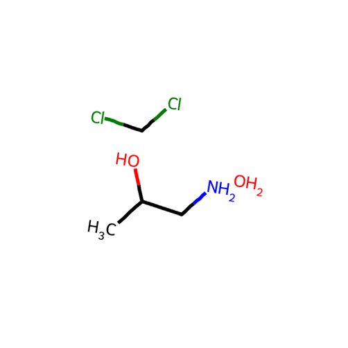 CC(O)CN.ClCCl.O